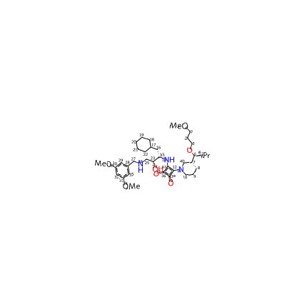 COCCCO[C@@H](C(C)C)[C@@H]1CCCN(c2c(N[C@@H](CC3CCCCC3)[C@@H](O)CNCc3cc(OC)cc(OC)c3)c(=O)c2=O)C1